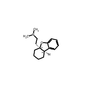 CN(C)CC[C@@]12CCCC[C@@H]1c1ccccc1O2